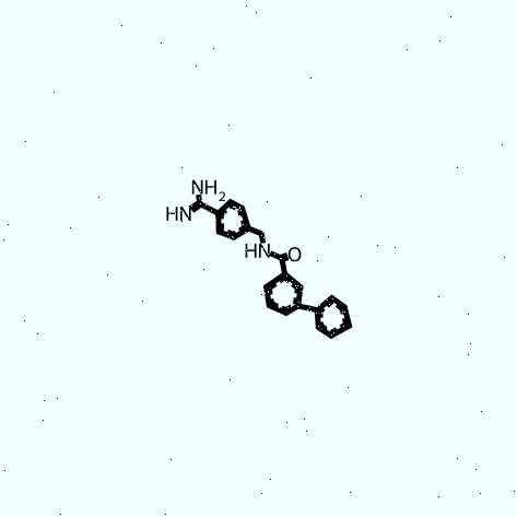 N=C(N)c1ccc(CNC(=O)c2cccc(-c3ccccc3)c2)cc1